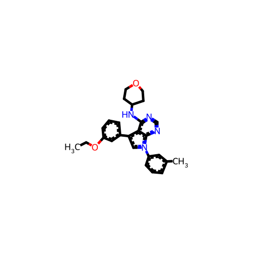 CCOc1cccc(-c2cn(-c3cccc(C)c3)c3ncnc(NC4CCOCC4)c23)c1